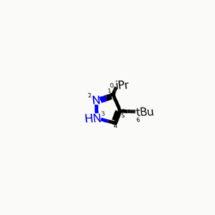 CC(C)c1n[nH]cc1C(C)(C)C